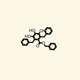 O=C(OCc1ccccc1)c1c(Cc2ccccc2)c(O)c(O)c(O)c1Cc1ccccc1